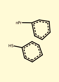 CCCc1ccccc1.Sc1ccccc1